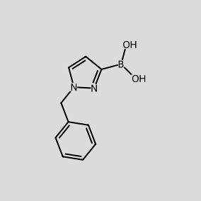 OB(O)c1ccn(Cc2ccccc2)n1